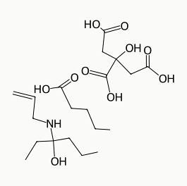 C=CCNC(O)(CC)CCC.CCCCC(=O)O.O=C(O)CC(O)(CC(=O)O)C(=O)O